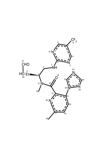 CC[C@@H](CNc1ncc(C(F)(F)F)cn1)N(C)C(=O)c1nc(C)ccc1-n1cncn1.O=CO